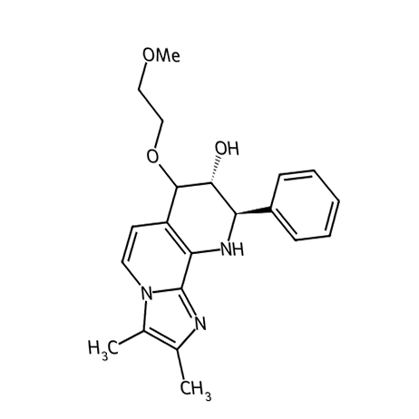 COCCOC1c2ccn3c(C)c(C)nc3c2N[C@H](c2ccccc2)[C@H]1O